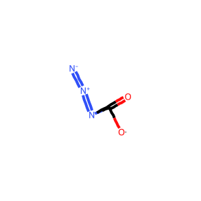 [N-]=[N+]=NC([O])=O